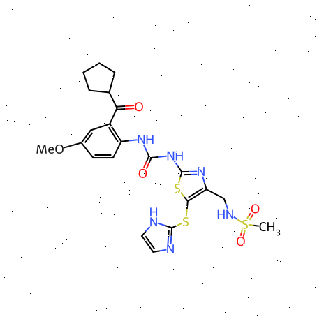 COc1ccc(NC(=O)Nc2nc(CNS(C)(=O)=O)c(Sc3ncc[nH]3)s2)c(C(=O)C2CCCC2)c1